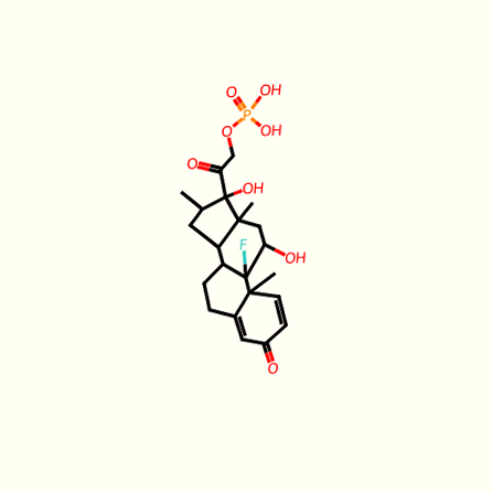 CC1CC2C3CCC4=CC(=O)C=CC4(C)C3(F)C(O)CC2(C)C1(O)C(=O)COP(=O)(O)O